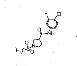 CS(=O)(=O)N1CCC(C(=O)Nc2ccc(Cl)c(F)c2)C1